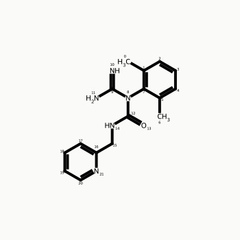 Cc1cccc(C)c1N(C(=N)N)C(=O)NCc1ccccn1